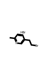 Br.Cc1ccc(CCBr)cn1